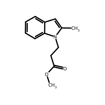 COC(=O)CCn1c(C)cc2ccccc21